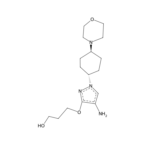 Nc1cn([C@H]2CC[C@H](N3CCOCC3)CC2)nc1OCCCO